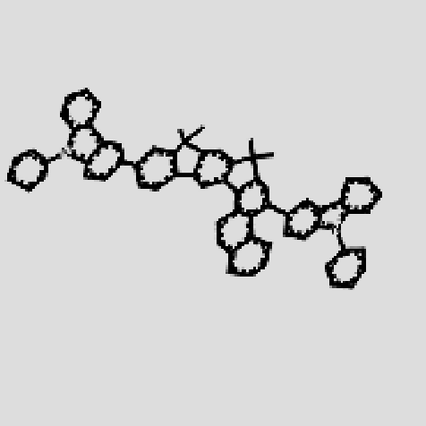 CC1(C)c2cc(-c3ccc4c(c3)c3ccccc3n4-c3ccccc3)ccc2-c2cc3c(cc21)C(C)(C)c1cc(-c2ccc4c(c2)c2ccccc2n4-c2ccccc2)c2c(ccc4ccccc42)c1-3